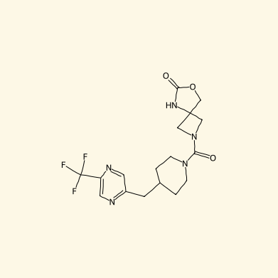 O=C1NC2(CO1)CN(C(=O)N1CCC(Cc3cnc(C(F)(F)F)cn3)CC1)C2